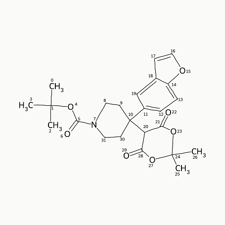 CC(C)(C)OC(=O)N1CCC(c2ccc3occc3c2)(C2C(=O)OC(C)(C)OC2=O)CC1